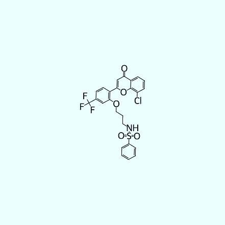 O=c1cc(-c2ccc(C(F)(F)F)cc2OCCCNS(=O)(=O)c2ccccc2)oc2c(Cl)cccc12